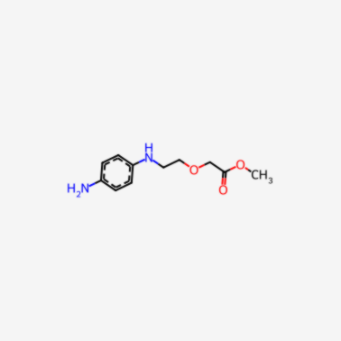 COC(=O)COCCNc1ccc(N)cc1